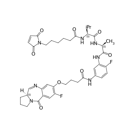 CC(C)[C@H](NC(=O)CCCCCN1C(=O)C=CC1=O)C(=O)N[C@@H](C)C(=O)Nc1cc(NC(=O)CCCOc2cc3c(cc2F)C(=O)N2CCC[C@H]2C=N3)ccc1F